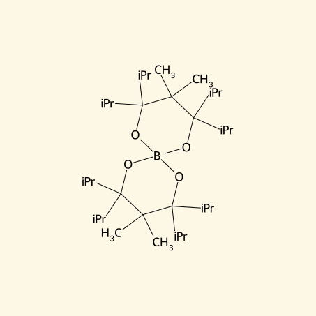 CC(C)C1(C(C)C)O[B-]2(OC(C(C)C)(C(C)C)C1(C)C)OC(C(C)C)(C(C)C)C(C)(C)C(C(C)C)(C(C)C)O2